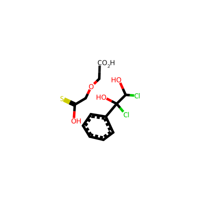 O=C(O)COCC(O)=S.OC(Cl)C(O)(Cl)c1ccccc1